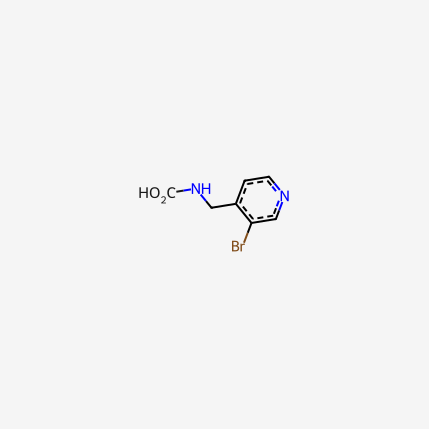 O=C(O)NCc1ccncc1Br